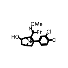 CCC(=NOC)C1=C(c2ccc(Cl)c(Cl)c2)CC2CC(O)C1N2C